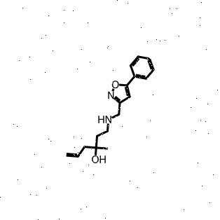 C=CCC(C)(O)CCNCc1cc(-c2ccccc2)on1